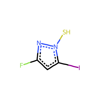 Fc1cc(I)n(S)n1